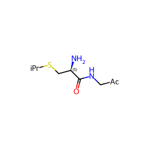 CC(=O)CNC(=O)[C@H](N)CSC(C)C